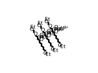 CCOCCCCCCC(CCCOCCOCC)OP(=O)([O-])[O-].CCOCCCCCCC(CCCOCCOCC)OP(=O)([O-])[O-].CCOCCCCCCC(CCCOCCOCC)OP(=O)([O-])[O-].[Al+3].[Al+3]